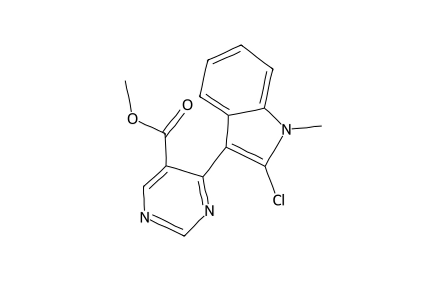 COC(=O)c1cncnc1-c1c(Cl)n(C)c2ccccc12